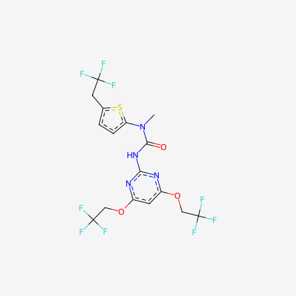 CN(C(=O)Nc1nc(OCC(F)(F)F)cc(OCC(F)(F)F)n1)c1ccc(CC(F)(F)F)s1